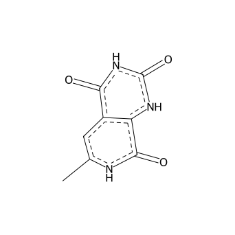 Cc1cc2c(=O)[nH]c(=O)[nH]c2c(=O)[nH]1